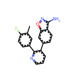 Cc1cc(-c2ncccc2-c2ccc3c(N)noc3c2)ccc1F